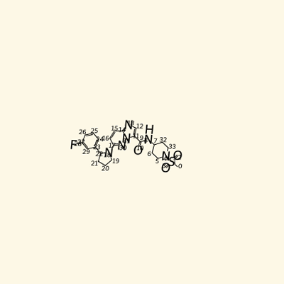 CS(=O)(=O)N1CCC(NC(=O)c2cnc3ccc(N4CCCC4c4cccc(F)c4)nn23)CC1